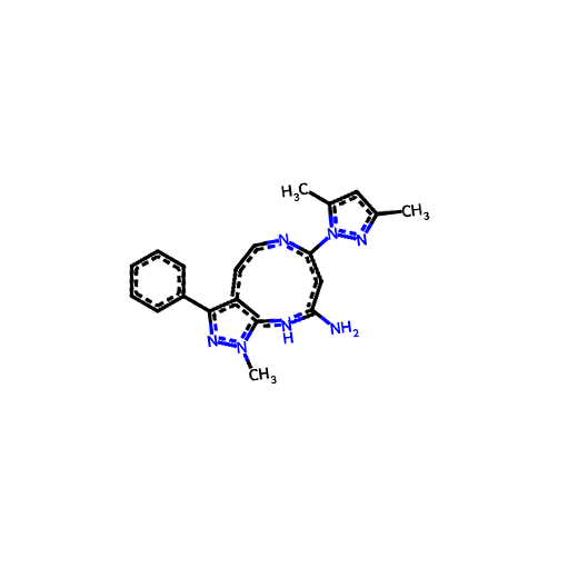 Cc1cc(C)n(-c2cc(N)[nH]c3c(ccn2)c(-c2ccccc2)nn3C)n1